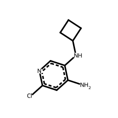 Nc1cc(Cl)ncc1NC1CCC1